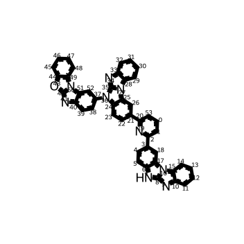 c1cc(-c2ccc3[nH]c4nc5ccccc5n4c3c2)nc(-c2ccc3c(c2)n2c4ccccc4nc2n3-c2ccc3nc4oc5ccccc5n4c3c2)c1